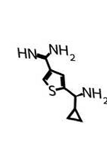 N=C(N)c1csc([C@@H](N)C2CC2)c1